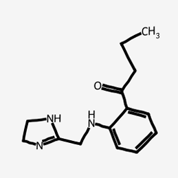 CCCC(=O)c1ccccc1NCC1=NCCN1